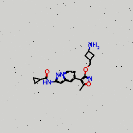 Cc1onc(OCC2CC(N)C2)c1-c1ccn2nc(NC(=O)C3CC3)cc2c1